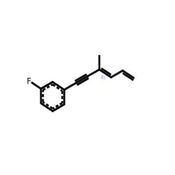 C=C/C=C(\C)C#Cc1cccc(F)c1